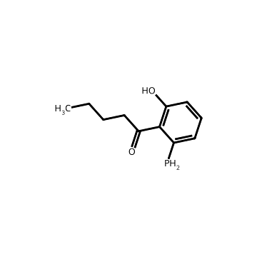 CCCCC(=O)c1c(O)cccc1P